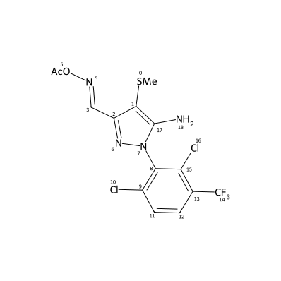 CSc1c(/C=N/OC(C)=O)nn(-c2c(Cl)ccc(C(F)(F)F)c2Cl)c1N